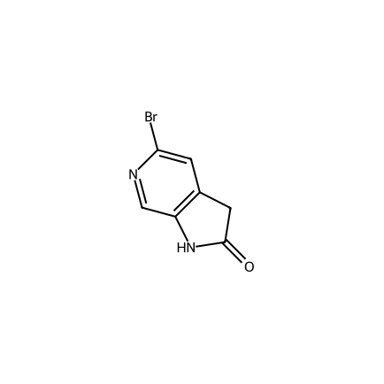 O=C1Cc2cc(Br)ncc2N1